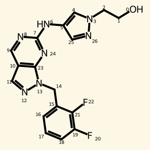 OCCn1cc(Nc2ncc3cnn(Cc4cccc(F)c4F)c3n2)cn1